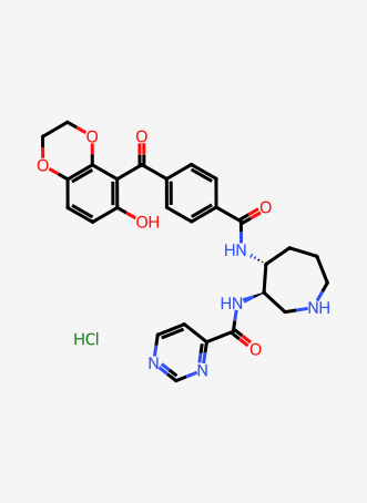 Cl.O=C(N[C@@H]1CCCNC[C@H]1NC(=O)c1ccncn1)c1ccc(C(=O)c2c(O)ccc3c2OCCO3)cc1